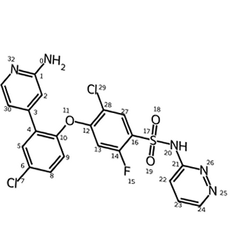 Nc1cc(-c2cc(Cl)ccc2Oc2cc(F)c(S(=O)(=O)Nc3cccnn3)cc2Cl)ccn1